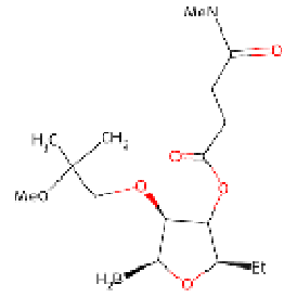 B[C@@H]1O[C@H](CC)C(OC(=O)CCC(=O)NC)[C@@H]1OCC(C)(C)OC